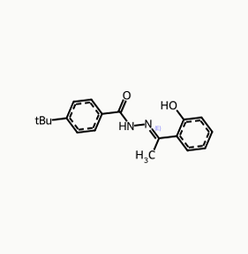 C/C(=N\NC(=O)c1ccc(C(C)(C)C)cc1)c1ccccc1O